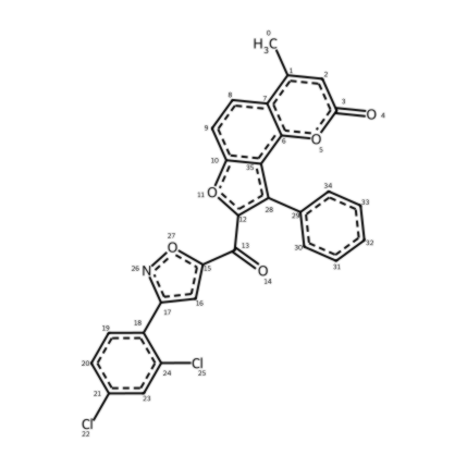 Cc1cc(=O)oc2c1ccc1oc(C(=O)c3cc(-c4ccc(Cl)cc4Cl)no3)c(-c3ccccc3)c12